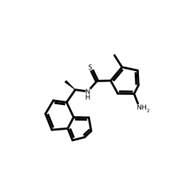 Cc1ccc(N)cc1C(=S)N[C@H](C)c1cccc2ccccc12